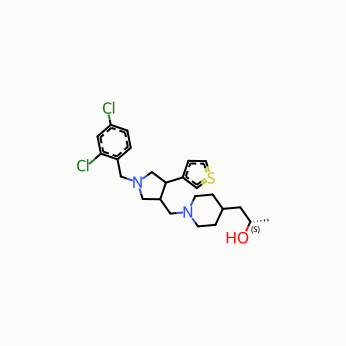 C[C@H](O)CC1CCN(CC2CN(Cc3ccc(Cl)cc3Cl)CC2c2ccsc2)CC1